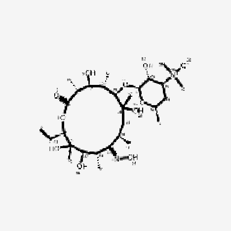 CC[C@H]1OC(=O)[C@H](C)[C@@H](O)[C@H](C)[C@@H](O[C@@H]2O[C@H](C)C[C@H]([N+](C)(C)[O-])[C@H]2O)C(C)(O)C[C@@H](C)/C(=N\O)[C@H](C)[C@@H](O)[C@]1(C)O